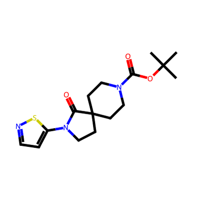 CC(C)(C)OC(=O)N1CCC2(CC1)CCN(c1ccns1)C2=O